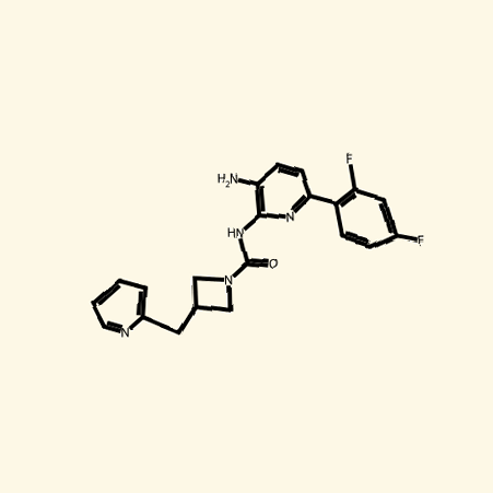 Nc1ccc(-c2ccc(F)cc2F)nc1NC(=O)N1CC(Cc2ccccn2)C1